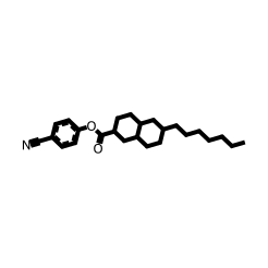 CCCCCCCC1CCC2CC(C(=O)Oc3ccc(C#N)cc3)CCC2C1